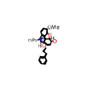 CCCN1CC[C@]23c4c5ccc(OC)c4O[C@H]2C(=O)CC[C@@]3(OCCCc2ccccc2)[C@H]1C5